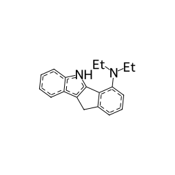 CCN(CC)c1cccc2c1-c1[nH]c3ccccc3c1C2